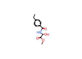 CCc1ccc(C(=O)NC(O)C(=O)OC)cc1